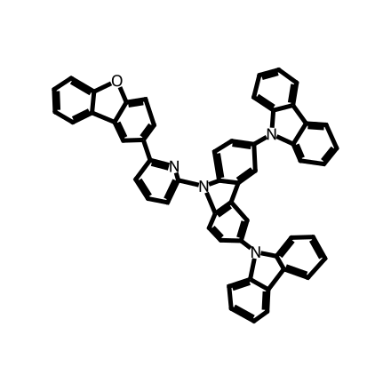 c1cc(-c2ccc3oc4ccccc4c3c2)nc(-n2c3ccc(-n4c5ccccc5c5ccccc54)cc3c3cc(-n4c5ccccc5c5ccccc54)ccc32)c1